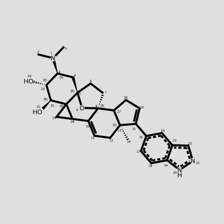 CN(C)[C@H]1C[C@@]23CC[C@@]4(O2)C(=CC[C@]2(C)C(c5ccc6[nH]ncc6c5)=CCC24)C2CC23[C@@H](O)[C@@H]1O